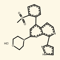 CS(=O)(=O)c1ccccc1-c1cc(N2CCOCC2)nc2c(-c3cc[nH]n3)nccc12.Cl